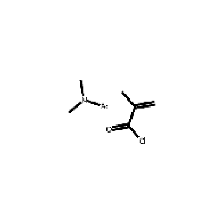 C=C(C)C(=O)Cl.CC(=O)N(C)C